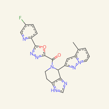 Cc1cccn2nc(C3c4nc[nH]c4CCN3C(=O)c3nnc(-c4ccc(F)cn4)o3)cc12